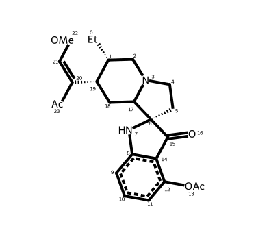 CC[C@@H]1CN2CC[C@]3(Nc4cccc(OC(C)=O)c4C3=O)C2C[C@@H]1/C(=C\OC)C(C)=O